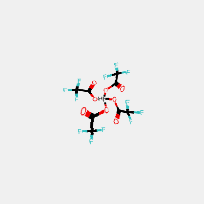 O=C([O][Hf]([O]C(=O)C(F)(F)F)([O]C(=O)C(F)(F)F)[O]C(=O)C(F)(F)F)C(F)(F)F